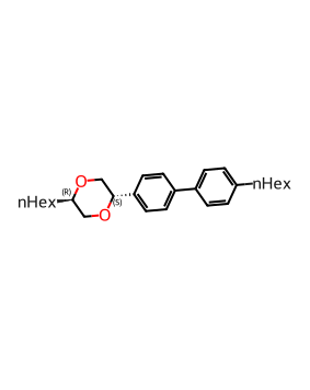 CCCCCCc1ccc(-c2ccc([C@H]3CO[C@H](CCCCCC)CO3)cc2)cc1